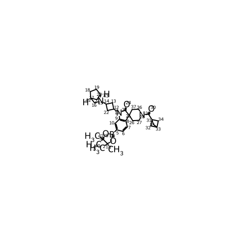 CC1(C)OB(c2ccc3c(c2)N(C2CC(N4C[C@H]5CC[C@@H]4C5)C2)C(=O)C32CCN(C(=O)C34CC(C3)C4)CC2)OC1(C)C